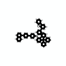 c1ccc(C2(c3ccccc3)c3ccccc3-c3c(N(c4ccc(-c5ccc(-c6cccc7ccccc67)cc5)cc4)c4ccc(-c5cccc6c5oc5ccccc56)cc4)cccc32)cc1